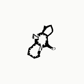 O=c1c2c(nc3ccccn13)CCC2